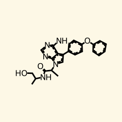 CC(CO)NC(=O)C(C)n1cc(-c2ccc(Oc3ccccc3)cc2)c2c(N)ncnc21